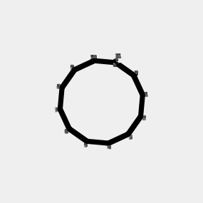 [CH]1CCCCCCCCCCS1